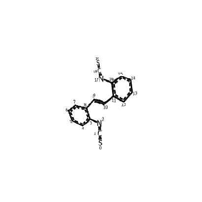 S=C=Nc1ccccc1C=Cc1ccccc1N=C=S